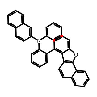 c1ccc(N(c2ccc3ccccc3c2)c2ccccc2-c2cccc3oc4c5ccccc5ccc4c23)cc1